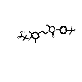 Cc1cc(CCN2C(=O)CN(c3ccc(C(F)(F)F)cc3)C2=O)cc(C)c1OC(C)(C)C(=O)O